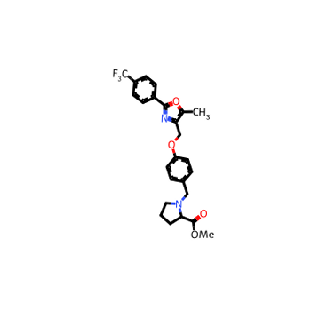 COC(=O)C1CCCN1Cc1ccc(OCc2nc(-c3ccc(C(F)(F)F)cc3)oc2C)cc1